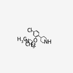 CC[C@@H](CN(C)C)Oc1cc(Cl)ccc1C1CCNCC1